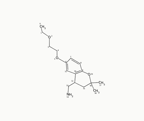 CCOCCOc1ccc2c(c1)C(CN)CC(C)(C)O2